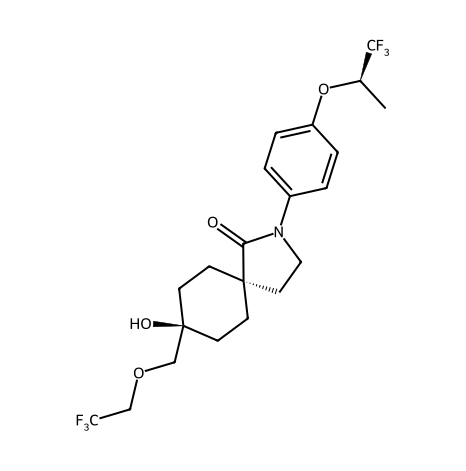 C[C@@H](Oc1ccc(N2CC[C@]3(CC[C@@](O)(COCC(F)(F)F)CC3)C2=O)cc1)C(F)(F)F